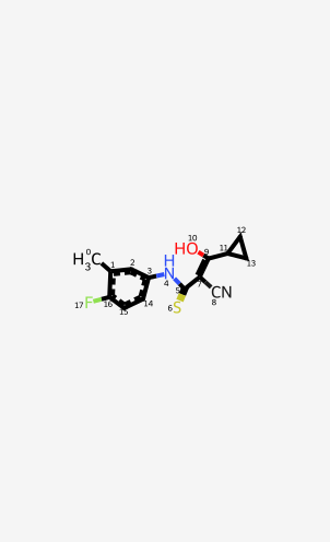 Cc1cc(NC(=S)C(C#N)=C(O)C2CC2)ccc1F